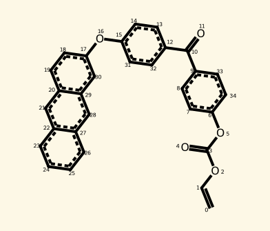 C=COC(=O)Oc1ccc(C(=O)c2ccc(Oc3ccc4cc5ccccc5cc4c3)cc2)cc1